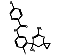 CC1(c2cc(NC(=O)c3ccc(Cl)cn3)ccc2F)CC2(CC2)OC(N)=N1